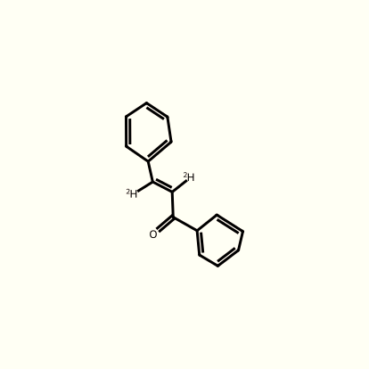 [2H]/C(C(=O)c1ccccc1)=C(/[2H])c1ccccc1